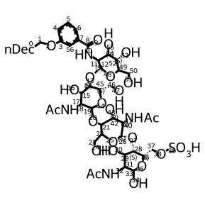 CCCCCCCCCCCOc1cccc(C(=O)NC2[C@H](O[C@H]3C(O)C(NC(C)=O)C(OC4C(CO)O[C@@H](O[C@H]5C(O)C(NC(C)=O)C(O)O[C@H]5COS(=O)(=O)O)[C@@H](NC(C)=O)[C@H]4O)O[C@H]3CO)OC(CO)[C@@H](O)[C@@H]2O)c1